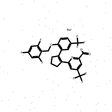 O=C([O-])c1cc(C(F)(F)F)cc(C2=C(c3cc(C(F)(F)F)ccc3OCc3c(F)cc(F)cc3F)CCC2)n1.[Na+]